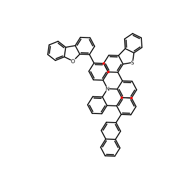 c1ccc(-c2ccccc2N(c2ccc(-c3cccc4c3oc3ccccc34)cc2)c2ccccc2-c2cccc3c2sc2ccccc23)c(-c2ccc3ccccc3c2)c1